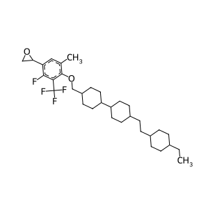 CCC1CCC(CCC2CCC(C3CCC(COc4c(C)cc(C5CO5)c(F)c4C(F)(F)F)CC3)CC2)CC1